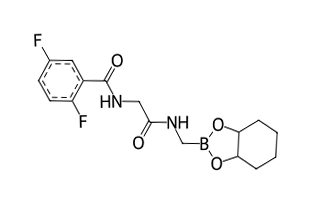 O=C(CNC(=O)c1cc(F)ccc1F)NCB1OC2CCCCC2O1